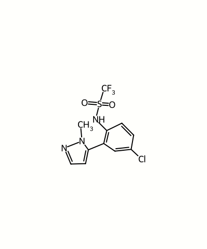 Cn1nccc1-c1cc(Cl)ccc1NS(=O)(=O)C(F)(F)F